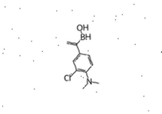 C=C(BO)c1ccc(N(C)C)c(Cl)c1